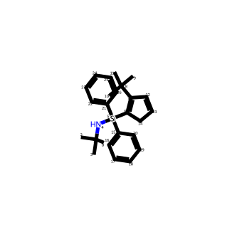 CC(C)(C)N[Si](C1=C(C(C)(C)C)C=CC1)(c1ccccc1)c1ccccc1